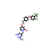 CN/C=C(\C=N)Cn1ccc(OCCc2ccc(Oc3ccc(Cl)c(C(F)(F)F)c3)cc2)cc1=O